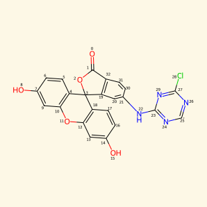 O=C1OC2(c3ccc(O)cc3Oc3cc(O)ccc32)c2cc(Nc3n[c]nc(Cl)n3)ccc21